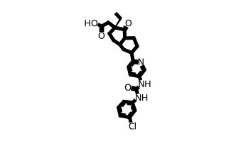 CC[C@]1(CC(=O)O)CCC2CC(c3ccc(NC(=O)Nc4cccc(Cl)c4)cn3)CCC2C1=O